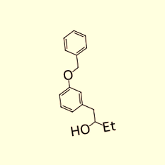 CCC(O)Cc1cccc(OCc2ccccc2)c1